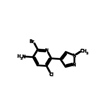 Cn1cc(-c2nc(Br)c(N)cc2Cl)cn1